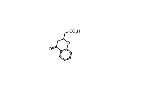 O=C(O)CC1CC(=O)c2ccccc2O1